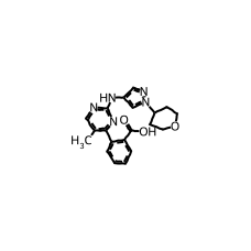 Cc1cnc(Nc2cnn(C3CCOCC3)c2)nc1-c1ccccc1C(=O)O